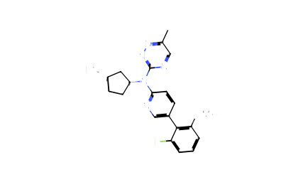 COc1cccc(F)c1-c1ccc(N(c2ncc(C)nn2)[C@H]2CC[C@H](N)C2)nc1